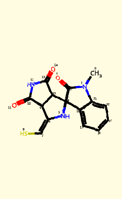 CN1C(=O)C2(NC(=CS)C3C(=O)NC(=O)C32)c2ccccc21